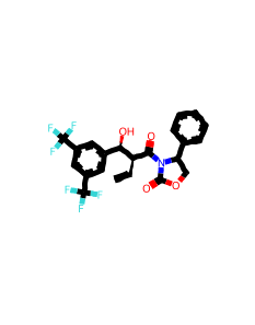 C=C[C@H](C(=O)N1C(=O)OCC1c1ccccc1)[C@H](O)c1cc(C(F)(F)F)cc(C(F)(F)F)c1